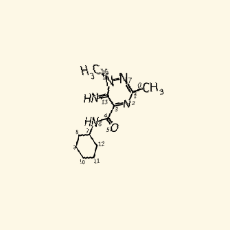 Cc1nc(C(=O)NC2CCCCC2)c(=N)n(C)n1